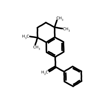 C=C(c1c[c]ccc1)c1ccc2c(c1)C(C)(C)CCC2(C)C